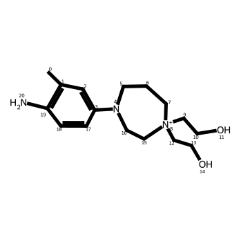 Cc1cc(N2CCC[N+](CCO)(CCO)CC2)ccc1N